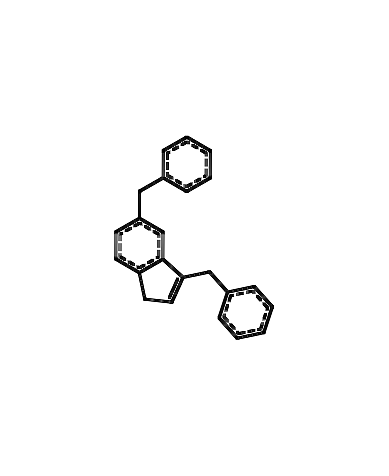 C1=C(Cc2ccccc2)c2cc(Cc3ccccc3)ccc2C1